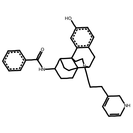 O=C(NC1CCC23CCC1C21CCN(CCC2=CC=CNC2)C3Cc2ccc(O)cc21)c1ccccc1